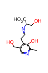 Cc1ncc(CO)c(CC=N[C@@H](CO)C(=O)O)c1O